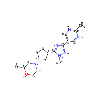 CC[C@@H]1CN([C@@H]2CC[C@H](c3nc(-c4cnc(C(F)(F)F)nc4)nn3C(C)C)C2)CCO1